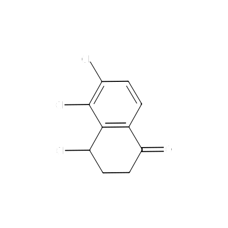 O=C1CCC(Cl)c2c1ccc(Cl)c2Cl